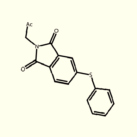 CC(=O)CN1C(=O)c2ccc(Sc3ccccc3)cc2C1=O